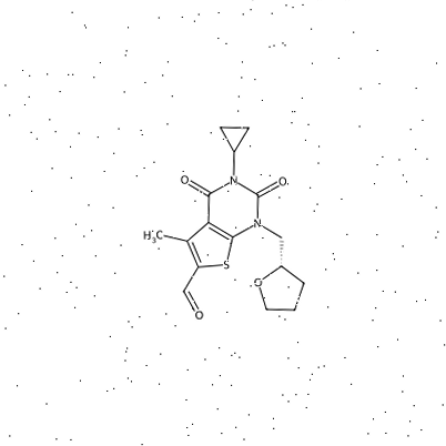 Cc1c(C=O)sc2c1c(=O)n(C1CC1)c(=O)n2C[C@@H]1CCCO1